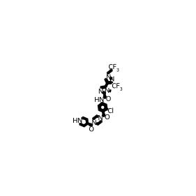 Cn1c(-c2cn(CCC(F)(F)F)nc2C(F)(F)F)cnc1C(=O)Nc1ccc(C(=O)N2CCN(C(=O)C3CCNCC3)CC2)c(Cl)c1